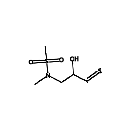 CN(CC(O)[C]=S)S(C)(=O)=O